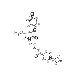 CCCN(CCCCC(=O)N1CCN(C2CCC2)CC1)C(=O)COc1ccc(Cl)cc1